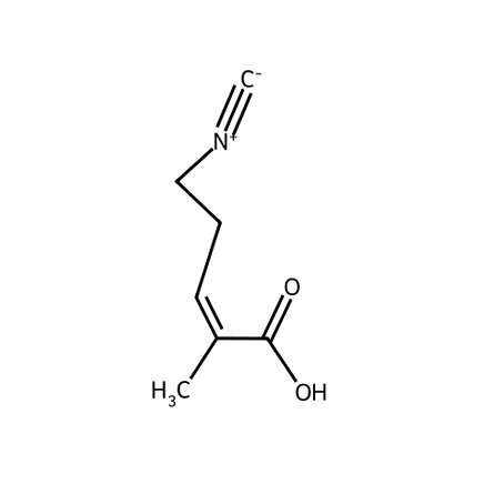 [C-]#[N+]CCC=C(C)C(=O)O